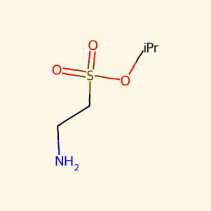 CC(C)OS(=O)(=O)CCN